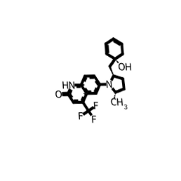 C[C@H]1CC[C@H](C[C@@]2(O)C=CC=CC2)N1c1ccc2[nH]c(=O)cc(C(F)(F)F)c2c1